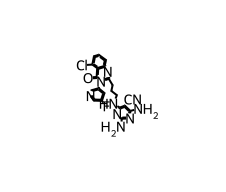 N#Cc1c(N)nc(N)nc1NCCCc1nc2cccc(Cl)c2c(=O)n1-c1cncc(F)c1